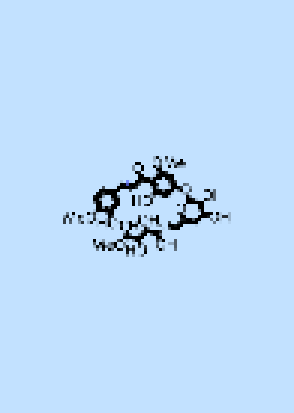 COc1ccc(/C=C/C(=O)c2c(O)cc(OC3OC(COC(O)C(O)C(O)C(C)OC)CC(O)C3O)cc2OC)cc1O